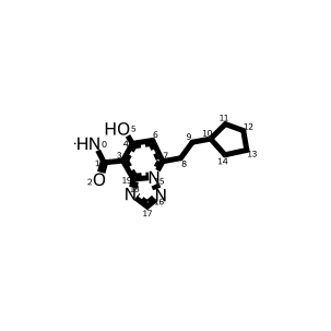 [NH]C(=O)c1c(O)cc(CCC2CCCC2)n2ncnc12